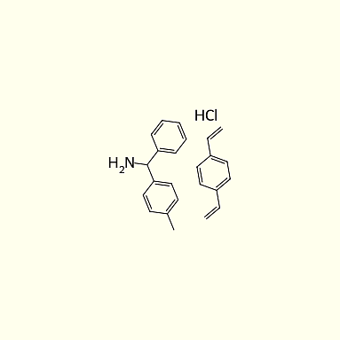 C=Cc1ccc(C=C)cc1.Cc1ccc(C(N)c2ccccc2)cc1.Cl